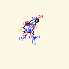 N=C(N)NCCC[C@H](NC(=O)[C@H](CCN)NC(=O)[C@H](CS)NC(=O)[C@H](CO)NC(=O)[C@@H](N)CCN)C(=O)N[C@@H](Cc1ccc(O)cc1)C(=O)O